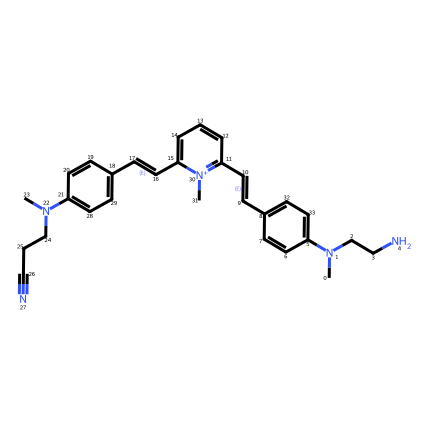 CN(CCN)c1ccc(/C=C/c2cccc(/C=C/c3ccc(N(C)CCC#N)cc3)[n+]2C)cc1